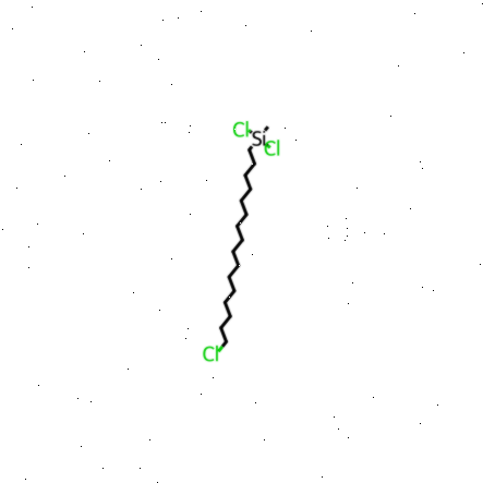 C[Si](Cl)(Cl)CCCCCCCCCCCCCCCCCl